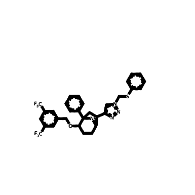 FC(F)(F)c1cc(COC2CCC3NC2(c2ccccc2)CC3c2cn(CSc3ccccc3)nn2)cc(C(F)(F)F)c1